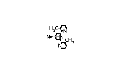 Cc1cccnc1[C@@H]1C[C@@H](C#N)C[C@H](c2ncccc2C)N1